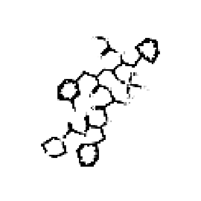 CC(C)C(NC(=O)C(Cc1cccc(F)c1)CC(O[Si](C)(C)C(C)(C)C)C(Cc1ccccc1)NC(=O)OC(C)(C)C)C(=O)NC(Cc1ccccc1)C(=O)NC(=O)N1CCOCC1